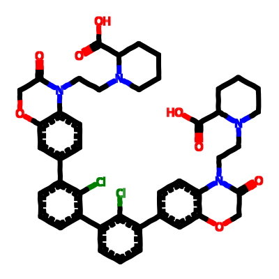 O=C(O)C1CCCCN1CCN1C(=O)COc2cc(-c3cccc(-c4cccc(-c5ccc6c(c5)OCC(=O)N6CCN5CCCCC5C(=O)O)c4Cl)c3Cl)ccc21